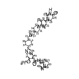 CC(C)Oc1cc2nc(C3CCC(CN4CC5(CCN(c6ncc(N7CCC(=O)NC7=O)cc6F)CC5)C4)CC3)cn2cc1C(=O)Nc1cnn2cccnc12